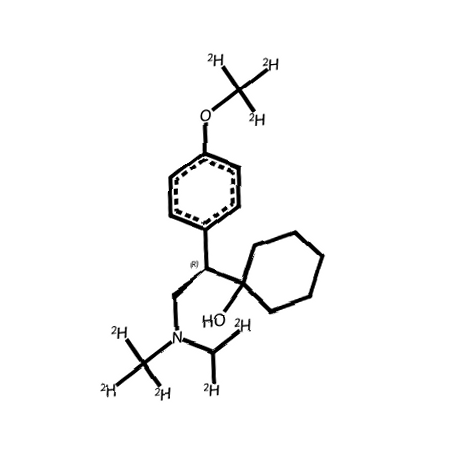 [2H]C([2H])N(C[C@@H](c1ccc(OC([2H])([2H])[2H])cc1)C1(O)CCCCC1)C([2H])([2H])[2H]